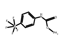 O=C(Nc1ccc(S(F)(F)(F)(F)F)cc1)OP